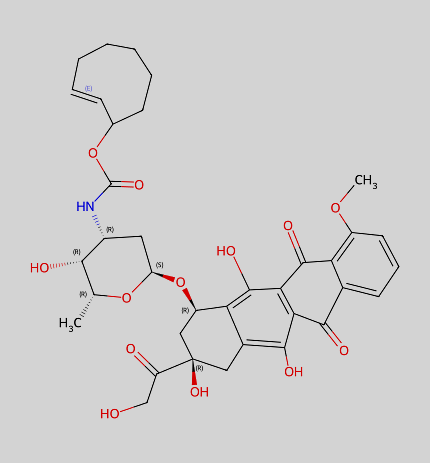 COc1cccc2c1C(=O)c1c(O)c3c(c(O)c1C2=O)C[C@](O)(C(=O)CO)C[C@H]3O[C@@H]1C[C@@H](NC(=O)OC2/C=C/CCCCC2)[C@@H](O)[C@@H](C)O1